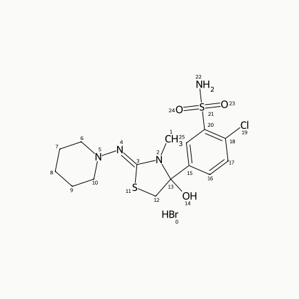 Br.CN1C(=NN2CCCCC2)SCC1(O)c1ccc(Cl)c(S(N)(=O)=O)c1